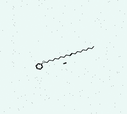 C=C.CCCCCCCCC=CCCCCCCCCOc1ccccc1